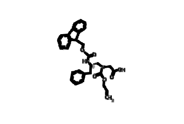 C=CCOC(=O)N(CC(=O)O)C[C@H](Cc1ccccc1)NC(=O)OCC1c2ccccc2-c2ccccc21